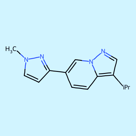 CC(C)c1cnn2cc(-c3ccn(C)n3)ccc12